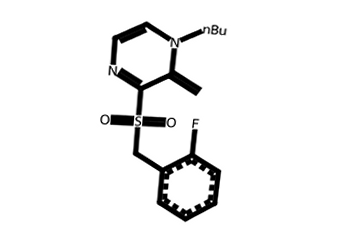 C=C1C(S(=O)(=O)Cc2ccccc2F)=NC=CN1CCCC